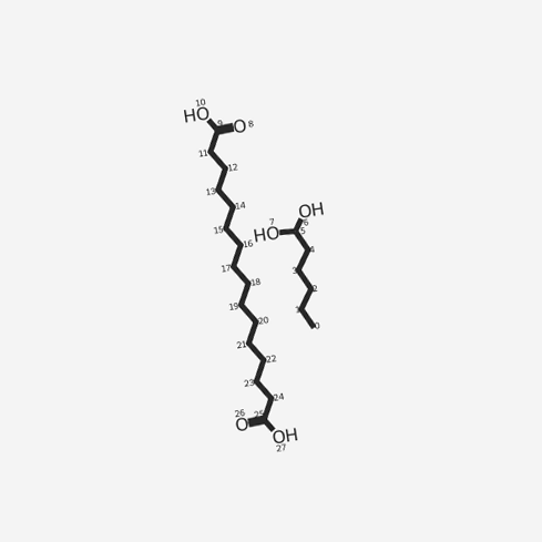 CCCCCC(O)O.O=C(O)CCCCCCCCCCCCCCC(=O)O